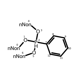 CCCCCCCCCO[PH](OCCCCCCCCC)(OCCCCCCCCC)c1ccccc1